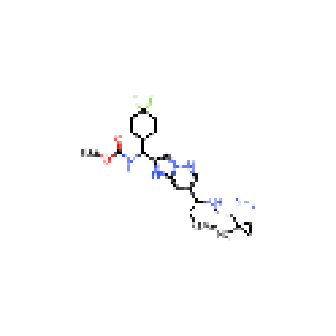 COC[C@@H](NC[C@H](N)C1(C#N)CC1)c1cnn2cc([C@@H](NC(=O)OC(C)(C)C)C3CCC(F)(F)CC3)nc2c1